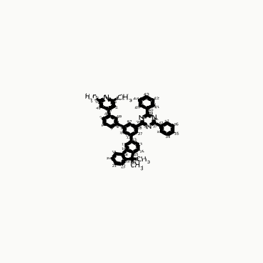 Cc1cc(-c2cccc(-c3cc(-c4ccc5c(c4)-c4ccccc4C5(C)C)cc(-c4nc(-c5ccccc5)nc(-c5ccccc5)n4)c3)c2)cc(C)n1